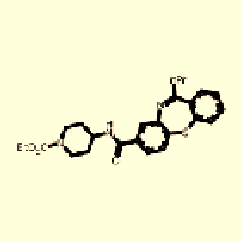 CCCC1=Nc2cc(C(=O)NC3CCN(C(=O)OCC)CC3)ccc2Sc2ccccc21